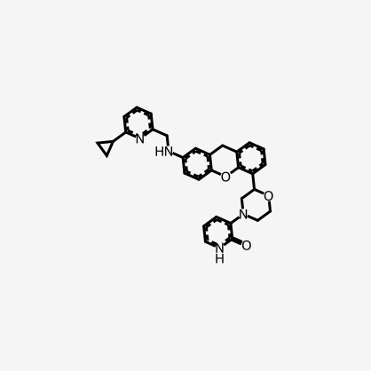 O=c1[nH]cccc1N1CCOC(c2cccc3c2Oc2ccc(NCc4cccc(C5CC5)n4)cc2C3)C1